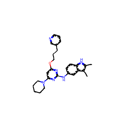 Cc1[nH]c2ccc(Nc3nc(OCCCc4cccnc4)cc(N4CCCCC4)n3)cc2c1C